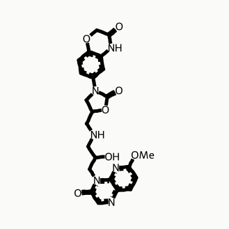 COc1ccc2ncc(=O)n(CC(O)CNCC3CN(c4ccc5c(c4)NC(=O)CO5)C(=O)O3)c2n1